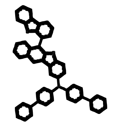 c1ccc(-c2ccc(N(c3ccc(-c4ccccc4)cc3)c3ccc4oc5c(-c6cccc7c6oc6ccccc67)c6ccccc6cc5c4c3)cc2)cc1